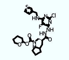 O=C(NC[C@@H](CC1CCCC1)C(=O)NNc1nc(Cl)nc(NCc2ccsc2)c1F)OC1CCCCO1